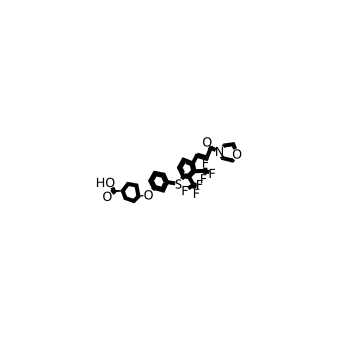 O=C(/C=C/c1ccc(Sc2cccc(O[C@H]3CC[C@H](C(=O)O)CC3)c2)c(C(F)(F)F)c1C(F)(F)F)N1CCOCC1